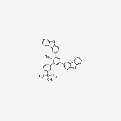 C[Si](C)(C)c1cccc(-c2cc(-c3ccc4oc5ccccc5c4c3)cc(-c3ccc4oc5ccccc5c4c3)c2C#N)c1